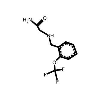 NC(=O)CNCc1ccccc1OC(F)(F)F